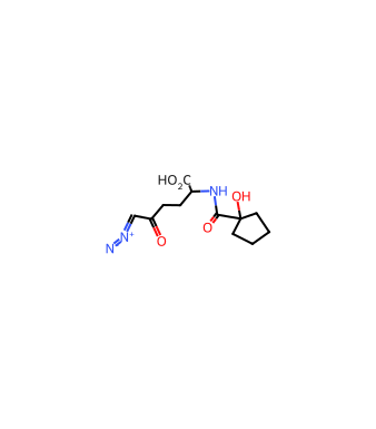 [N-]=[N+]=CC(=O)CCC(NC(=O)C1(O)CCCC1)C(=O)O